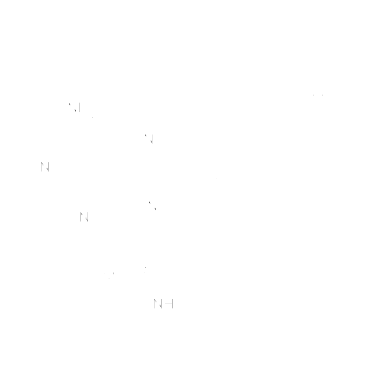 COc1ccc(I)c(Sc2nc3c(N)ncnc3n2CC(N)=O)c1